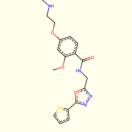 CNCCOc1ccc(C(=O)NCc2nnc(-c3cccs3)o2)c(OC)c1